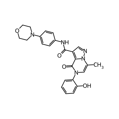 Cc1cn(-c2ccccc2O)c(=O)c2c(C(=O)Nc3ccc(N4CCOCC4)cc3)cnn12